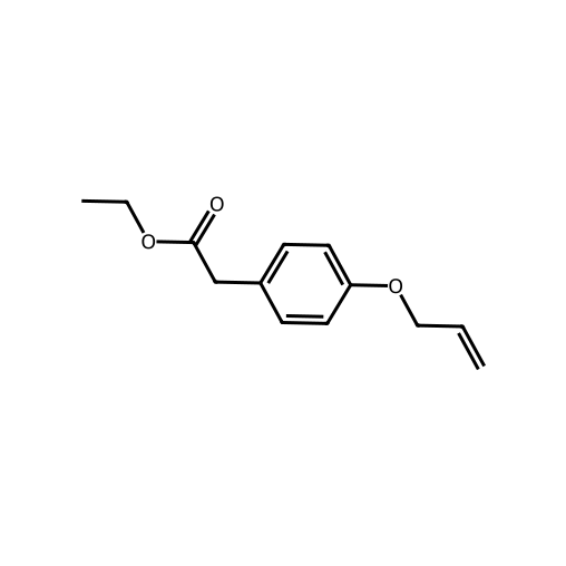 C=CCOc1ccc(CC(=O)OCC)cc1